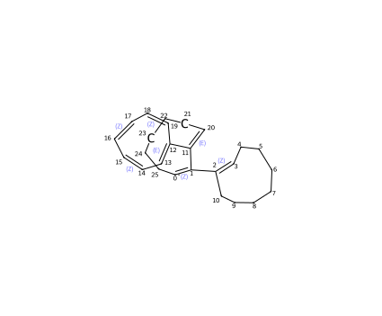 [C]1=C(C2=C/CCCCCCC/2)/C(C2=C/C=C\C=C/C=C\2)=C/CCCCC\1